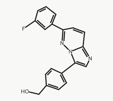 OCc1ccc(-c2cnc3ccc(-c4cccc(F)c4)nn23)cc1